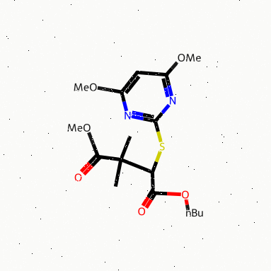 CCCCOC(=O)C(Sc1nc(OC)cc(OC)n1)C(C)(C)C(=O)OC